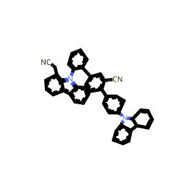 N#CCc1cccc2c3ccccc3n(-c3ccccc3-c3ccc(-c4ccc(N5c6ccccc6C6C=CC=CC65)cc4)c(C#N)c3)c12